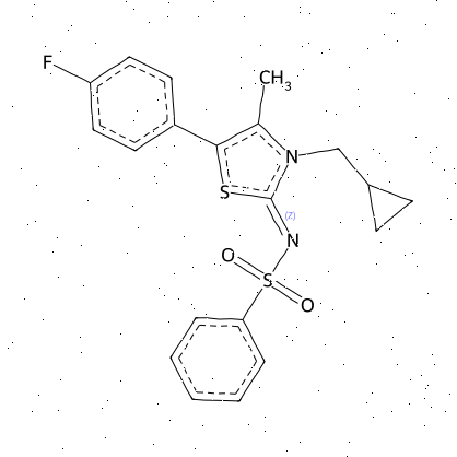 Cc1c(-c2ccc(F)cc2)s/c(=N\S(=O)(=O)c2ccccc2)n1CC1CC1